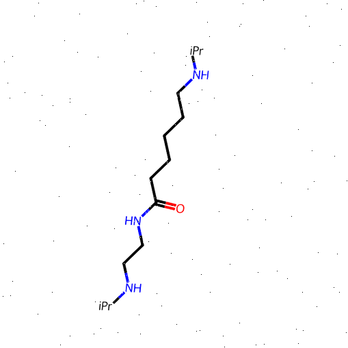 CC(C)NCCCCCC(=O)NCCNC(C)C